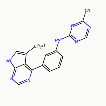 CCOC(=O)c1c[nH]c2ncnc(-c3cccc(Nc4ncnc(C#N)n4)c3)c12